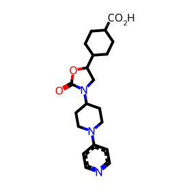 O=C(O)C1CCC(C2CN(C3CCN(c4ccncc4)CC3)C(=O)O2)CC1